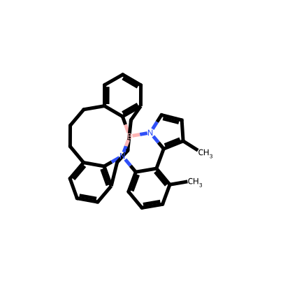 Cc1cccc2c1-c1c(C)ccn1B1c3c4cccc3CCCc3cccc(c3N12)CCC4